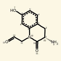 N[C@H]1Cc2ccc(O)cc2N(CC=O)C1=O